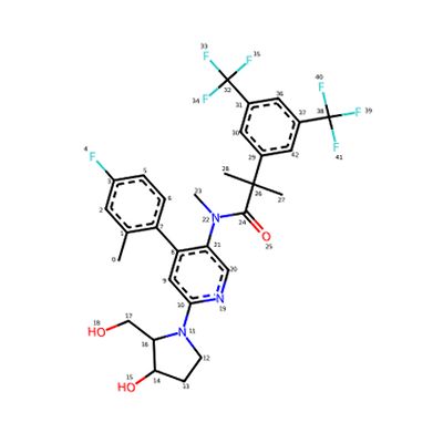 Cc1cc(F)ccc1-c1cc(N2CCC(O)C2CO)ncc1N(C)C(=O)C(C)(C)c1cc(C(F)(F)F)cc(C(F)(F)F)c1